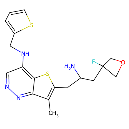 Cc1c(CC(N)CC2(F)COC2)sc2c(NCc3cccs3)cnnc12